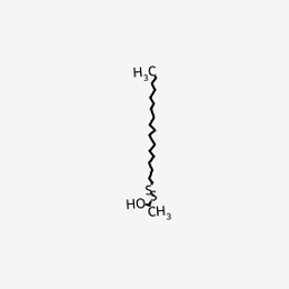 CCCCCCCCCCCCCCCCCCSSC(C)O